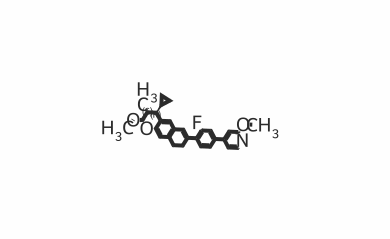 COC(=O)[C@@H](C)[C@H](c1ccc2c(c1)C=C(c1ccc(-c3ccnc(OC)c3)cc1F)CC2)C1CC1